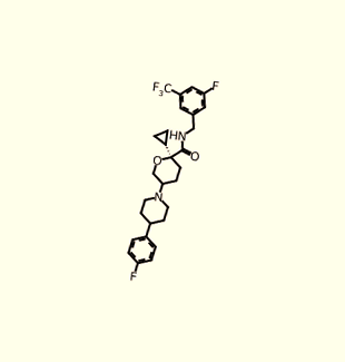 O=C(NCc1cc(F)cc(C(F)(F)F)c1)[C@@]1(C2CC2)CCC(N2CCC(c3ccc(F)cc3)CC2)CO1